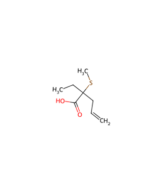 C=CCC(CC)(SC)C(=O)O